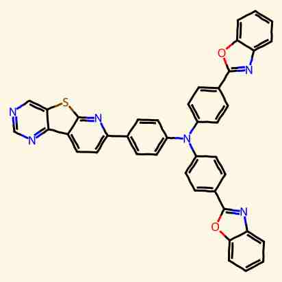 c1ccc2oc(-c3ccc(N(c4ccc(-c5ccc6c(n5)sc5cncnc56)cc4)c4ccc(-c5nc6ccccc6o5)cc4)cc3)nc2c1